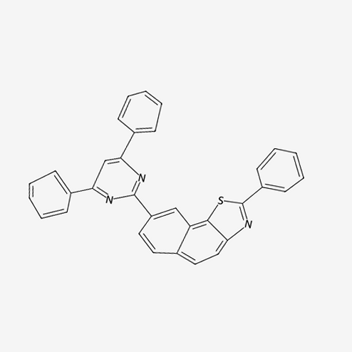 c1ccc(-c2cc(-c3ccccc3)nc(-c3ccc4ccc5nc(-c6ccccc6)sc5c4c3)n2)cc1